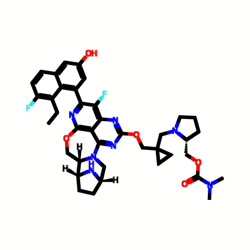 CCc1c(F)ccc2cc(O)cc(-c3nc4c5c(nc(OCC6(CN7CCC[C@@H]7COC(=O)N(C)C)CC6)nc5c3F)N3C[C@@H]5CC[C@@H](N5)[C@@H]3CO4)c12